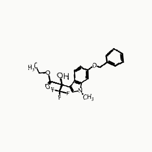 CCOC(=O)C(O)(c1cn(C)c2cc(OCc3ccccc3)ccc12)C(F)(F)F